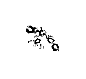 Cc1nc(NCC2(N)CCN(c3ccncc3)CC2)nc(N[C@@H]2C[C@H](CO)[C@@H](O)[C@H]2O)c1-c1nc2cnccc2s1